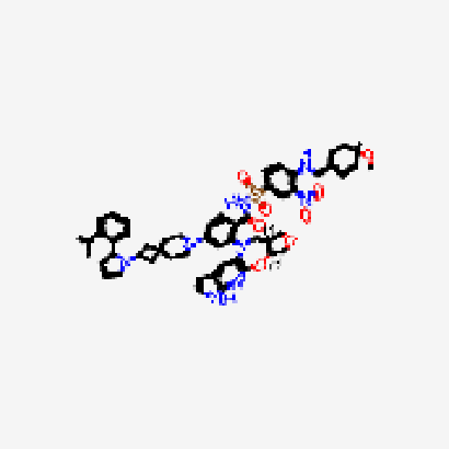 COC1(C)CCC(CNc2ccc(S(=O)(=O)NC(=O)c3ccc(N4CCC5(CC4)CC(N4CCC[C@H]4c4ccccc4C(C)C)C5)cc3N3C[C@H]4COC[C@H]4Oc4nc5[nH]ccc5cc43)cc2[N+](=O)[O-])CC1